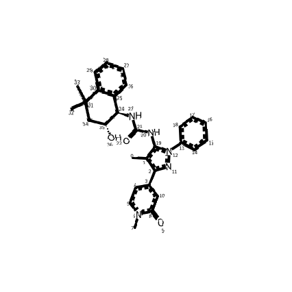 Cc1c(-c2ccn(C)c(=O)c2)nn(-c2ccccc2)c1NC(=O)N[C@@H]1c2ccccc2C(C)(C)C[C@H]1O